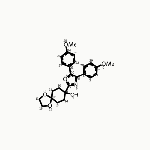 COc1ccc(-c2nc(C3(O)CCC4(CC3)OCCO4)oc2-c2ccc(OC)cc2)cc1